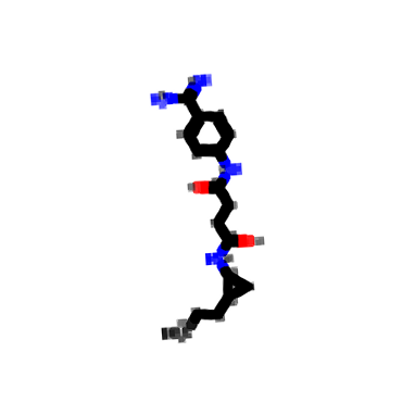 N=C(N)c1ccc(NC(=O)CCC(=O)NC2CC2CCC(=O)O)cc1